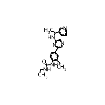 CCNC(=O)Nc1ccc(-c2cncc(NC(C)c3cccnc3)n2)cc1CC